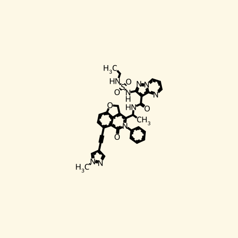 CCNS(=O)(=O)Nc1nn2cccnc2c1C(=O)NC(C)c1c2c3c(ccc(C#Cc4cnn(C)c4)c3c(=O)n1-c1ccccc1)OC2